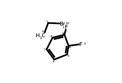 CCBr.Fc1ccccc1F